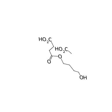 CC(=O)O.O=C(O)CCC(=O)OCCCCO